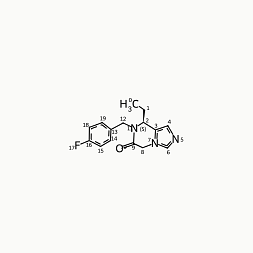 CC[C@H]1c2cncn2CC(=O)N1Cc1ccc(F)cc1